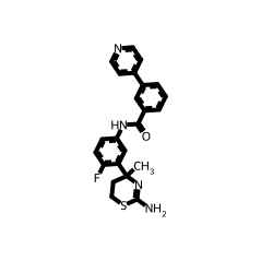 CC1(c2cc(NC(=O)c3cccc(-c4ccncc4)c3)ccc2F)CCSC(N)=N1